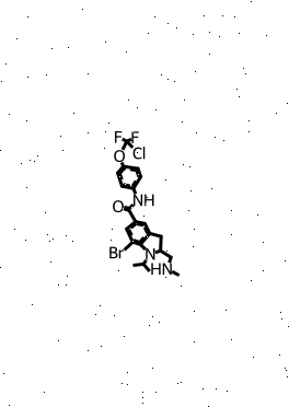 CNCC1Cc2cc(C(=O)Nc3ccc(OC(F)(F)Cl)cc3)cc(Br)c2N1C(C)C